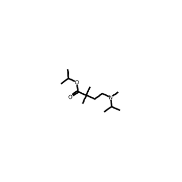 CC(C)OC(=O)C(C)(C)CCN(C)C(C)C